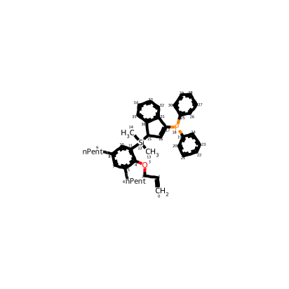 C=CCOc1c(CCCCC)cc(CCCCC)cc1[Si](C)(C)C1C=C(P(c2ccccc2)c2ccccc2)c2ccccc21